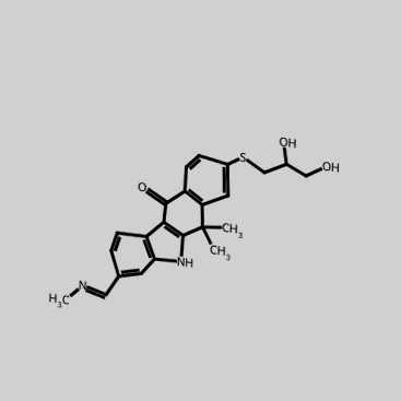 C/N=C/c1ccc2c3c([nH]c2c1)C(C)(C)c1cc(SCC(O)CO)ccc1C3=O